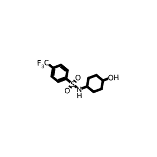 O=S(=O)(NC1CCC(O)CC1)c1ccc(C(F)(F)F)cc1